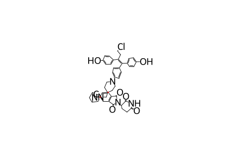 O=C1CCC(N2C(=O)c3ccc(N4C5CC4CN(CC4CCN(c6ccc(C(=C(CCCl)c7ccc(O)cc7)c7ccc(O)cc7)cc6)CC4)C5)cc3C2=O)C(=O)N1